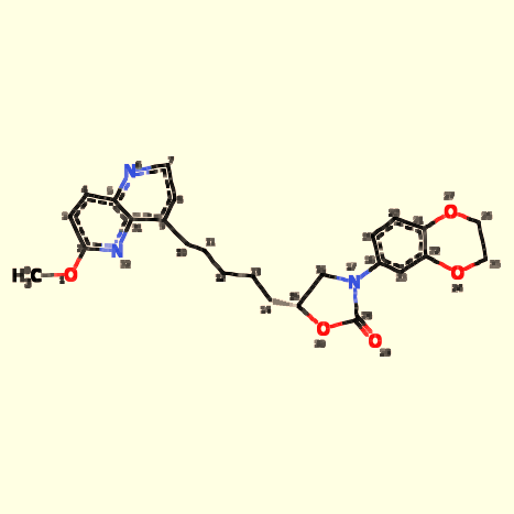 COc1ccc2nccc(CCCCC[C@@H]3CN(c4ccc5c(c4)OCCO5)C(=O)O3)c2n1